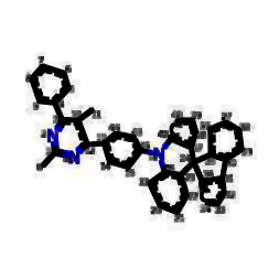 Cc1nc(-c2ccccc2)c(C)c(-c2ccc(N3c4ccccc4C4(c5ccccc5-c5ccccc54)c4ccccc43)cc2)n1